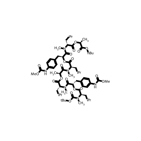 CCCCOC(=O)[C@H](C)OC(=O)[C@@H](CC(C)C)N(C)C(=O)[C@H](Cc1ccc(NC(=O)OC)cc1)OC(=O)[C@@H](CC(C)C)N(C)C(=O)[C@H](C)OC(=O)[C@@H](CC(C)C)N(C)C(=O)[C@H](Cc1ccc(NC(=O)OC)cc1)OC(=O)[C@@H](CC(C)C)N(C)C(=O)OC(C)(C)C